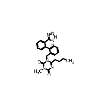 CCCCc1nc(=O)n(C)c(=O)n1Cc1ccccc1-c1ccccc1-c1nnn[nH]1